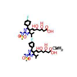 CC(C)c1nc(N(C)S(C)(=O)=O)nc(-c2ccc(F)cc2)c1C=C[C@@H](O)C[C@@H](O)CC(=O)O.CC(C)c1nc(N(C)S(C)(=O)=O)nc(-c2ccc(F)cc2)c1C=C[C@@H](O)C[C@@H](O)CC(=O)O.[CaH2].[SrH2]